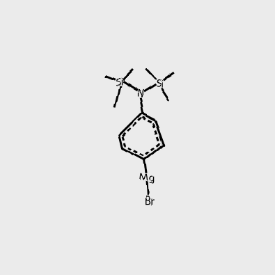 C[Si](C)(C)N(c1cc[c]([Mg][Br])cc1)[Si](C)(C)C